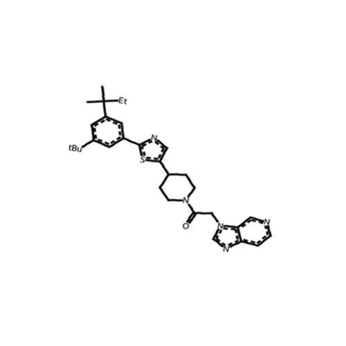 CCC(C)(C)c1cc(-c2ncc(C3CCN(C(=O)Cn4cnc5ccncc54)CC3)s2)cc(C(C)(C)C)c1